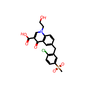 CS(=O)(=O)c1ccc(Cl)c(Cc2ccc3c(c2)c(=O)c(C(=O)O)cn3CCO)c1